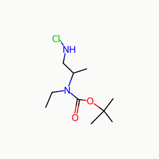 CCN(C(=O)OC(C)(C)C)C(C)CNCl